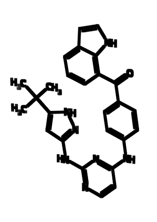 CC(C)(C)c1cc(Nc2nccc(Nc3ccc(C(=O)c4cccc5cc[nH]c45)cc3)n2)n[nH]1